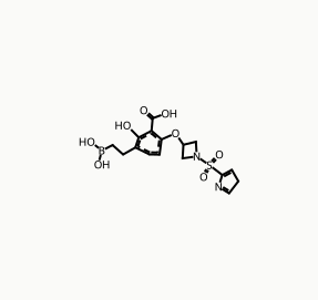 O=C(O)c1c(OC2CN(S(=O)(=O)C3=CCC=N3)C2)ccc(CCB(O)O)c1O